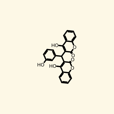 O=c1oc2ccccc2c(O)c1C(c1cccc(O)c1)c1c(O)c2ccccc2oc1=O